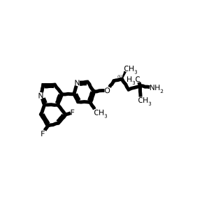 Cc1cc(-c2ccnc3cc(F)cc(F)c23)ncc1OC[C@@H](C)CC(C)(C)N